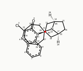 O=c1c(Cl)nc2ccccc2n1[C@H]1C[C@H]2CC[C@@H](C1)N2C1CCCCCCC1